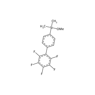 CO[Si](C)(C)c1ccc(-c2c(F)c(F)c(F)c(F)c2F)cc1